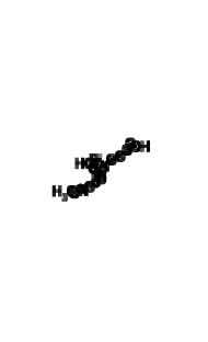 COc1ccc(COc2ccc3oc(N4CCN(CCOCCOCCOCC(=O)O)CC4)nc3c2)nc1.O=C(O)C(F)(F)F